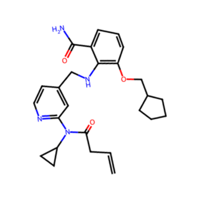 C=CCC(=O)N(c1cc(CNc2c(OCC3CCCC3)cccc2C(N)=O)ccn1)C1CC1